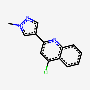 Cn1cc(-c2cc(Cl)c3ccccc3n2)cn1